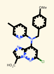 COc1ccc(CN(c2ccc(C)cn2)c2cc(Cl)nn3c(C(=O)O)cnc23)cc1